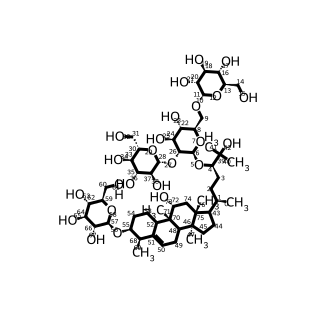 C[C@H](CC[C@@H](O[C@@H]1O[C@H](CO[C@H]2O[C@H](CO)[C@@H](O)[C@H](O)[C@H]2O)[C@@H](O)[C@H](O)[C@H]1O[C@H]1O[C@@H](CO)[C@H](O)[C@@H](O)[C@@H]1O)C(C)(C)O)C1CC[C@@]2(C)C3CC=C4C(CC[C@H](O[C@@H]5O[C@H](CO)[C@@H](O)[C@H](O)[C@H]5O)[C@@H]4C)[C@]3(C)[C@H](O)C[C@]12C